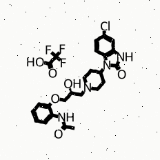 CC(=O)Nc1ccccc1OC[C@@H](O)CN1CCC(n2c(=O)[nH]c3cc(Cl)ccc32)CC1.O=C(O)C(F)(F)F